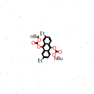 CCCCOC(=O)Oc1c2ccc(CC)cc2c(OC(=O)OCCCC)c2cc(CC)ccc12